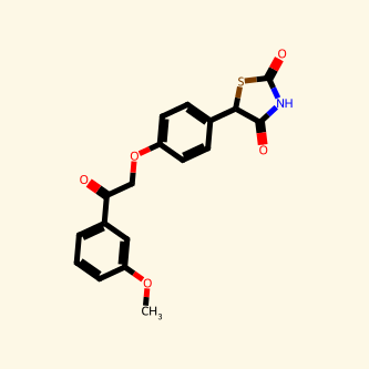 COc1cccc(C(=O)COc2ccc(C3SC(=O)NC3=O)cc2)c1